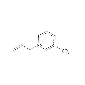 C=CC[n+]1cccc(C(=O)O)c1